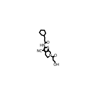 N#Cc1c(NC(=O)CCC2CCCCC2)sc2c1CCN(C(=O)CCO)C2